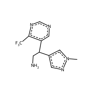 Cn1cc(C(CN)c2cncnc2C(F)(F)F)cn1